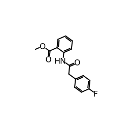 COC(=O)c1ccccc1NC(=O)Cc1ccc(F)cc1